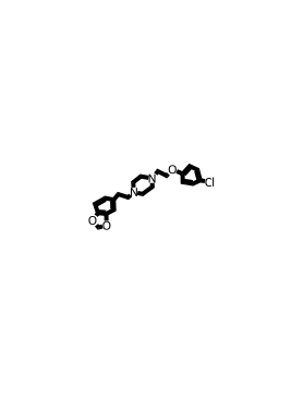 Clc1ccc(OCCN2CCN(CCc3ccc4c(c3)OCO4)CC2)cc1